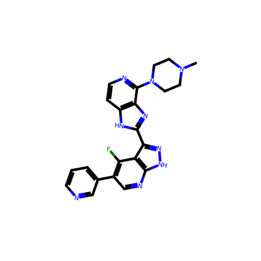 CN1CCN(c2nccc3[nH]c(-c4n[nH]c5ncc(-c6cccnc6)c(F)c45)nc23)CC1